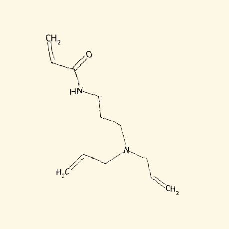 C=CCN(CC=C)CC[CH]NC(=O)C=C